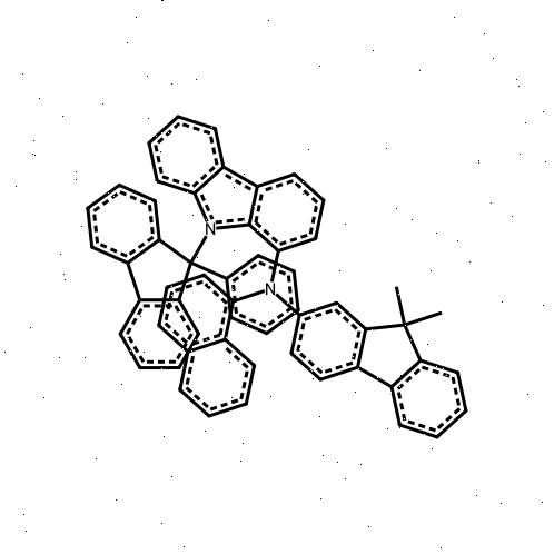 CC1(C)c2ccccc2-c2ccc(N(c3cccc4ccccc34)c3cccc4c5ccccc5n(C5(c6ccccc6)c6ccccc6-c6ccccc65)c34)cc21